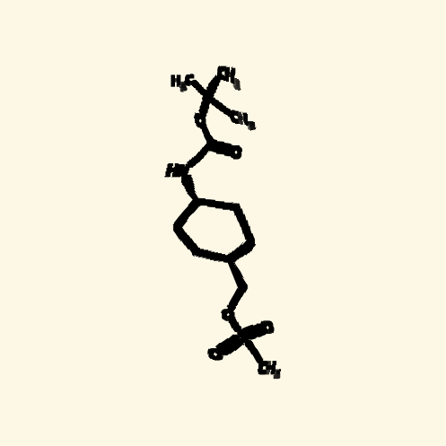 CC(C)(C)OC(=O)N[C@H]1CC[C@@H](COS(C)(=O)=O)CC1